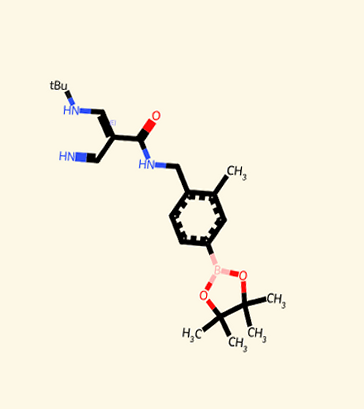 Cc1cc(B2OC(C)(C)C(C)(C)O2)ccc1CNC(=O)/C(C=N)=C/NC(C)(C)C